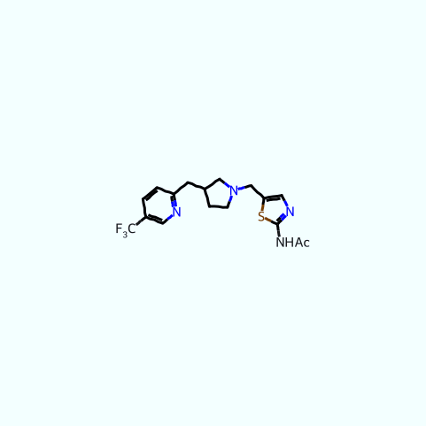 CC(=O)Nc1ncc(CN2CCC(Cc3ccc(C(F)(F)F)cn3)C2)s1